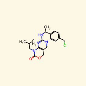 CC(C)CN1C(=O)OCc2cnc(N[C@@H](C)c3ccc(CCl)cc3)nc21